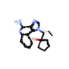 CC[C@@H](n1cnc2c(N)nc3ccccc3c21)C1(O)CCCC1